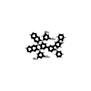 CC(C)(C)c1cc(N2c3cc4ccccc4cc3B3c4cc5ccccc5cc4N(c4cc(C(C)(C)C)cc(C(C)(C)C)c4)c4cc(-c5ccc6c(c5)c5cc7c(cc5n6-c5ccccc5)sc5ccccc57)cc2c43)cc(C(C)(C)C)c1